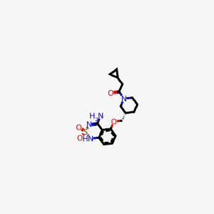 NC1=NS(=O)(=O)Nc2cccc(OC[C@H]3CCCN(C(=O)CC4CC4)C3)c21